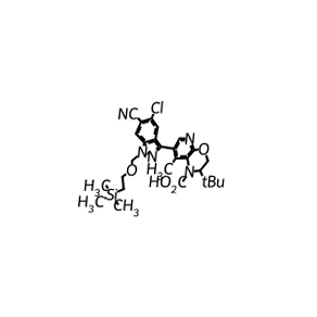 Cc1c(-c2nn(COCC[Si](C)(C)C)c3cc(C#N)c(Cl)cc23)cnc2c1N(C(=O)O)C(C(C)(C)C)CO2